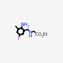 CCOC(=O)CNCc1cc(I)cc(C)c1N